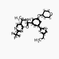 CCc1cnc(-c2cc(OC3CCOCC3)cc(C(=O)NC(C)c3cnc(C(F)(F)F)nc3)c2)s1